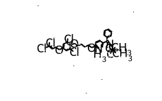 CC(C)(C)ON=C(c1ccccc1)c1ccc(OCCCCOc2c(Cl)cc(OCC=C(Cl)Cl)cc2Cl)nc1